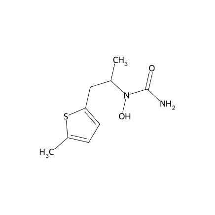 Cc1ccc(CC(C)N(O)C(N)=O)s1